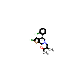 C=C(CN1Cc2sc(Cl)cc2[C@H](c2ccccc2Cl)C1)C(C)=O